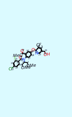 COCC(COC)N(C(=O)C1C=CC(Cl)=CC1F)c1ccc(Oc2ncc(CO)cc2C(F)(F)F)cc1C(=O)OC